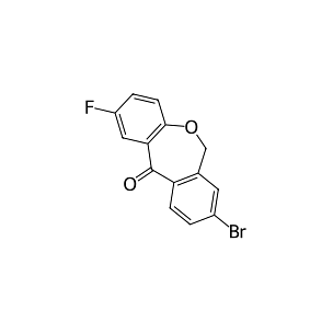 O=C1c2ccc(Br)cc2COc2ccc(F)cc21